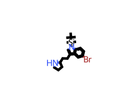 CC(C)(C)[Si](C)(C)n1cc(CCC2CCCN2)c2cc(Br)ccc21